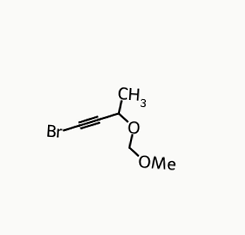 COCOC(C)C#CBr